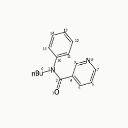 CCCCN(C(=O)c1cccnc1)c1ccccc1